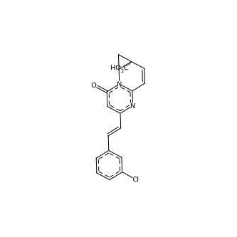 O=C(O)C12C=Cc3nc(/C=C/c4cccc(Cl)c4)cc(=O)n3C1C2